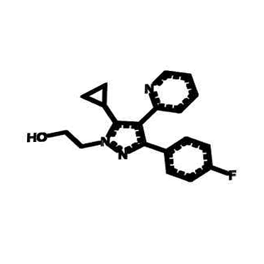 OCCn1nc(-c2ccc(F)cc2)c(-c2ccccn2)c1C1CC1